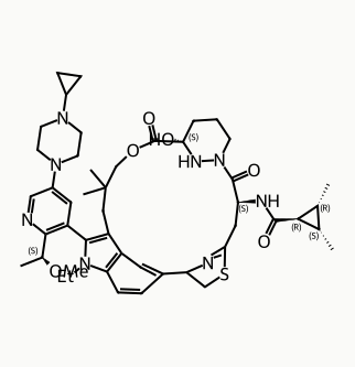 CCn1c(-c2cc(N3CCN(C4CC4)CC3)cnc2[C@H](C)OC)c2c3cc(ccc31)C1CSC(=N1)C[C@H](NC(=O)[C@H]1[C@H](C)[C@@H]1C)C(=O)N1CCC[C@@](O)(N1)C(=O)OCC(C)(C)C2